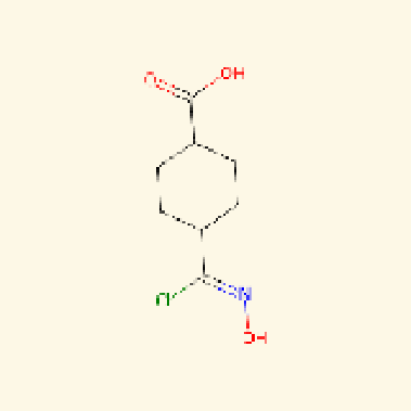 O=C(O)C1CCC(/C(Cl)=N/O)CC1